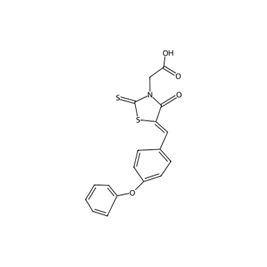 O=C(O)CN1C(=O)/C(=C/c2ccc(Oc3ccccc3)cc2)SC1=S